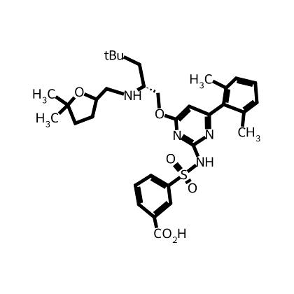 Cc1cccc(C)c1-c1cc(OC[C@@H](CC(C)(C)C)NCC2CCC(C)(C)O2)nc(NS(=O)(=O)c2cccc(C(=O)O)c2)n1